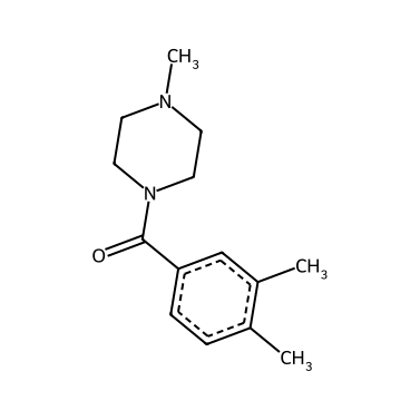 Cc1ccc(C(=O)N2CCN(C)CC2)cc1C